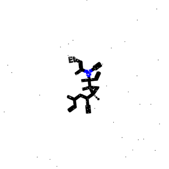 C#CC(CC(C)C=C)[C@]1(C)CC1(C)C(C)(C=C)N(C#C)/C(C)=C/CC